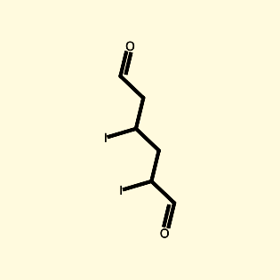 O=CCC(I)CC(I)C=O